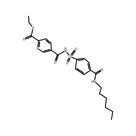 CCCCCCNC(=O)c1ccc(S(=O)(=O)NC(=O)c2ccc(C(=O)OCC)nc2)cc1